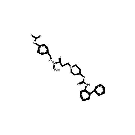 CCCCCN(NCc1ccc(OC(F)F)cc1)C(=O)CCN1CCC(OC(=O)Nc2ccccc2-c2ccccc2)CC1